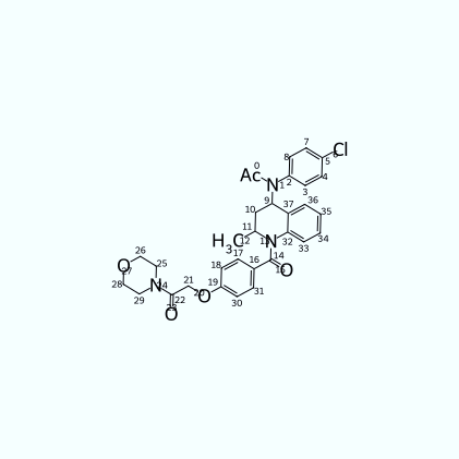 CC(=O)N(c1ccc(Cl)cc1)C1CC(C)N(C(=O)c2ccc(OCC(=O)N3CCOCC3)cc2)c2ccccc21